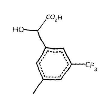 Cc1cc(C(O)C(=O)O)cc(C(F)(F)F)c1